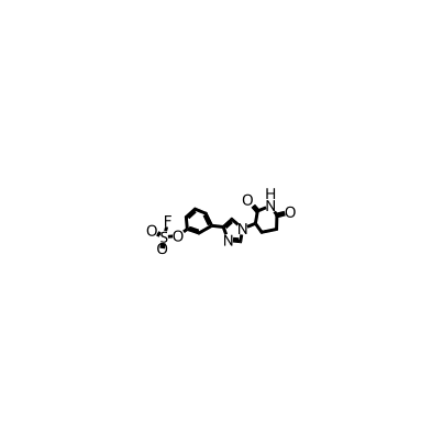 O=C1CCC(n2cnc(-c3cccc(OS(=O)(=O)F)c3)c2)C(=O)N1